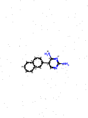 Nc1ncc(-c2ccc3ccccc3c2)c(N)n1